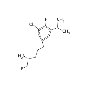 CC(C)c1cc(CCC[C@@H](N)CF)cc(Cl)c1F